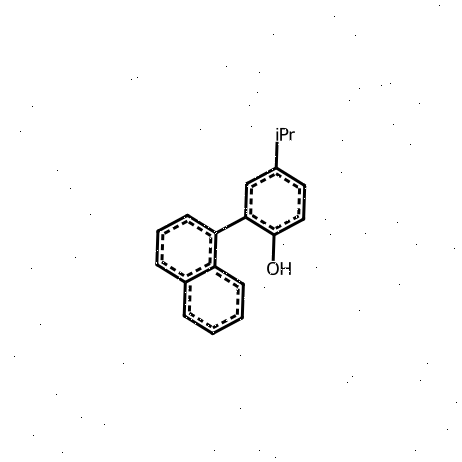 CC(C)c1ccc(O)c(-c2cccc3ccccc23)c1